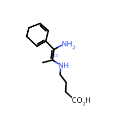 C/C(NCCCC(=O)O)=C(/N)C1=CCCC=C1